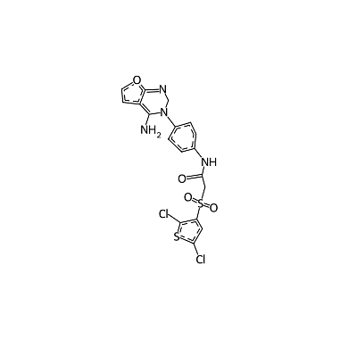 NC1=c2ccoc2=NCN1c1ccc(NC(=O)CS(=O)(=O)c2cc(Cl)sc2Cl)cc1